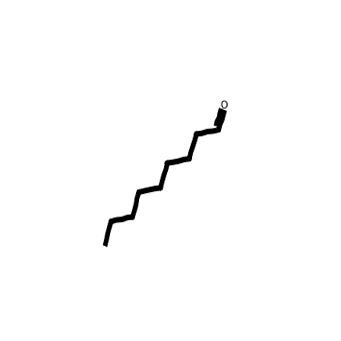 CCCCC[CH]CCC=O